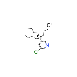 [CH2+]CC[CH2][Sn]([CH2]CCC)([CH2]CCC)[c]1cncc(Cl)c1